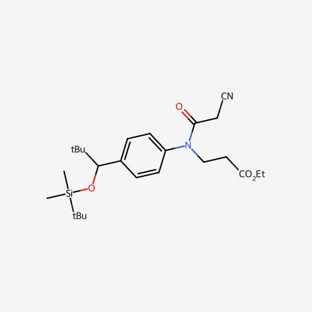 CCOC(=O)CCN(C(=O)CC#N)c1ccc(C(O[Si](C)(C)C(C)(C)C)C(C)(C)C)cc1